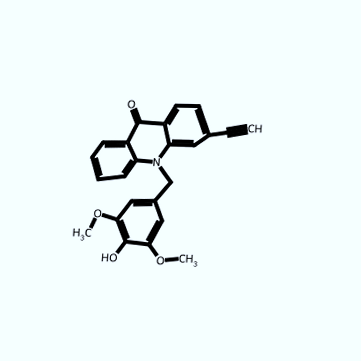 C#Cc1ccc2c(=O)c3ccccc3n(Cc3cc(OC)c(O)c(OC)c3)c2c1